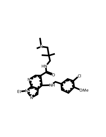 CCn1ncc2c(NCc3ccc(OC)c(Cl)c3)c(C(=O)NCC(C)(C)CN(C)C)cnc21